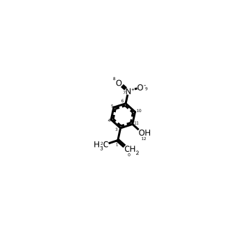 C=C(C)c1ccc([N+](=O)[O-])cc1O